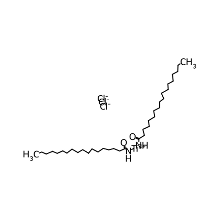 CCCCCCCCCCCCCCCCCC(=O)[NH][Ti+3][NH]C(=O)CCCCCCCCCCCCCCCCC.[Cl-].[Cl-].[Cl-]